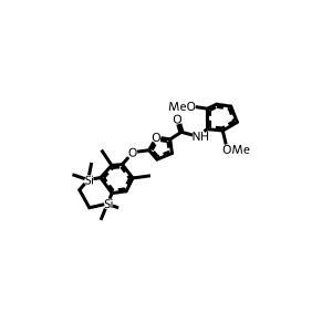 COc1cccc(OC)c1NC(=O)c1ccc(Oc2c(C)cc3c(c2C)[Si](C)(C)CC[Si]3(C)C)o1